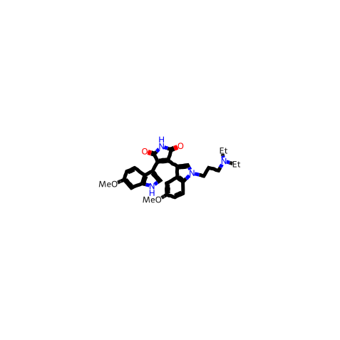 CCN(CC)CCCn1cc(C2=C(c3c[nH]c4cc(OC)ccc34)C(=O)NC2=O)c2cc(OC)ccc21